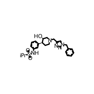 CC(C)S(=O)(=O)Nc1cccc([C@@H]2CCN(Cc3cn(Cc4ccccc4)nn3)C[C@@H]2O)c1